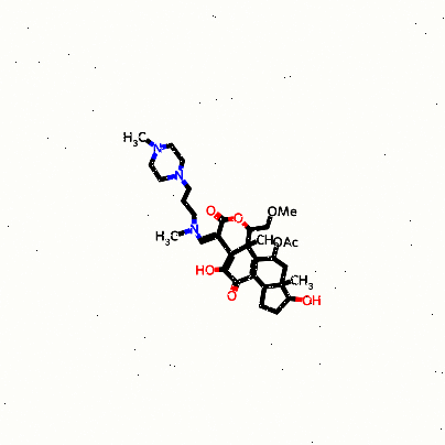 COCC1OC(=O)C(=CN(C)CCCN2CCN(C)CC2)C2=C(O)C(=O)C3=C(C(OC(C)=O)CC4(C)C(O)CCC34)C21C